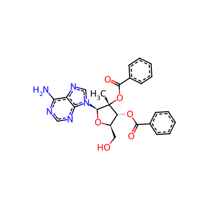 C[C@@]1(OC(=O)c2ccccc2)[C@H](OC(=O)c2ccccc2)[C@@H](CO)O[C@H]1n1cnc2c(N)ncnc21